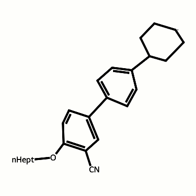 CCCCCCCOc1ccc(-c2ccc(C3CC[CH]CC3)cc2)cc1C#N